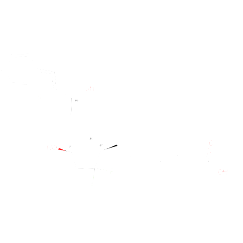 O=C(O)CCCC=CC[C@@H]1[C@@H](C=C[C@@H](O)c2cc3ccccc3s2)[C@H](O)CC1(F)F